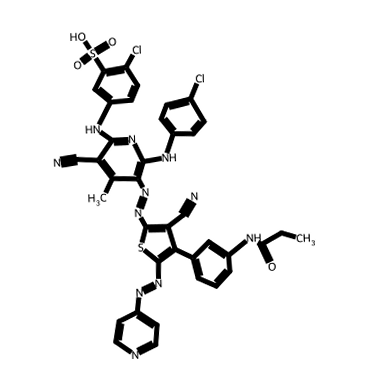 CCC(=O)Nc1cccc(-c2c(N=Nc3ccncc3)sc(N=Nc3c(Nc4ccc(Cl)cc4)nc(Nc4ccc(Cl)c(S(=O)(=O)O)c4)c(C#N)c3C)c2C#N)c1